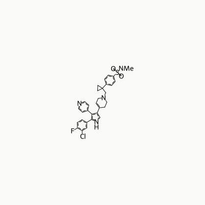 CNS(=O)(=O)c1ccc(C2(CN3CC=C(c4c[nH]c(-c5ccc(F)c(Cl)c5)c4-c4ccncc4)CC3)CC2)cc1